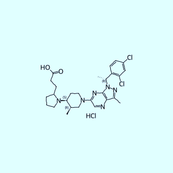 Cc1nn([C@H](C)c2ccc(Cl)cc2Cl)c2nc(N3CC[C@H](N4CCCC4CCC(=O)O)[C@H](C)C3)cnc12.Cl